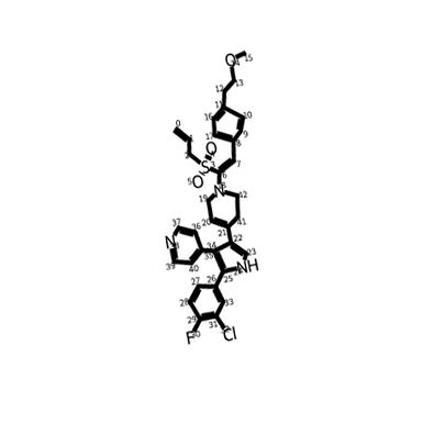 C=CCS(=O)(=O)C(=Cc1ccc(CCOC)cc1)N1CC=C(c2c[nH]c(-c3ccc(F)c(Cl)c3)c2-c2ccncc2)CC1